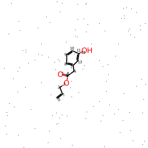 C=CCOC(=O)Cc1cccc(O)c1